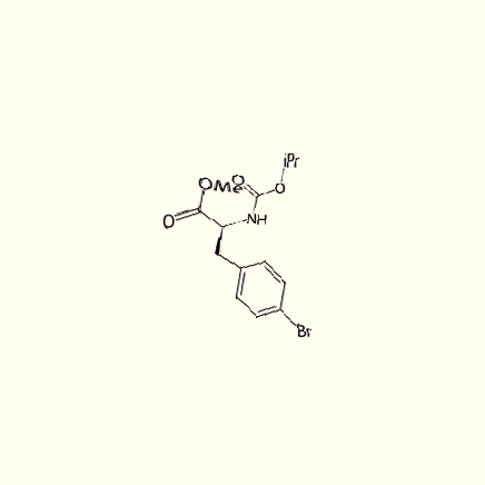 COC(=O)[C@H](Cc1ccc(Br)cc1)NC(=O)OC(C)C